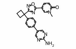 Cn1cc(-c2nc(C3(c4ccc(-c5cnc(N)nc5)cc4)CCC3)no2)ccc1=O